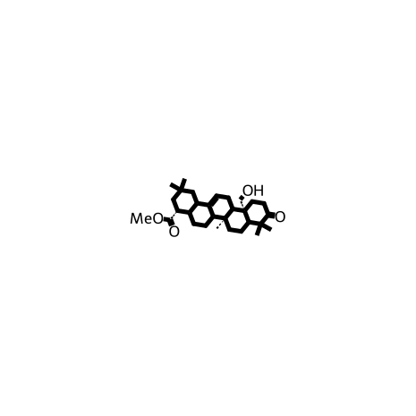 COC(=O)[C@@H]1CC(C)(C)CC2C3=CCC4[C@@](C)(CCC5C(C)(C)C(=O)CC[C@@]54CO)C3CCC21